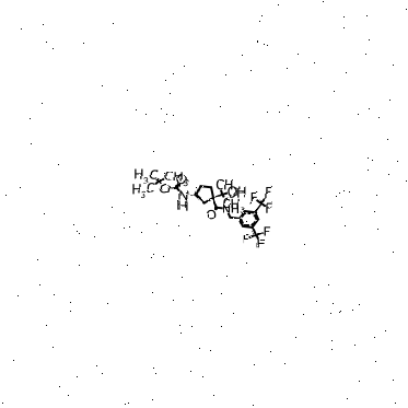 CC(C)(C)OC(=O)N[C@@H]1CC[C@@](C(=O)NCc2cc(C(F)(F)F)cc(C(F)(F)F)c2)(C(C)(C)O)C1